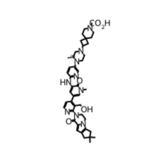 C[C@H]1CN(C2CC3(CCN(C(=O)O)CC3)C2)CCN1c1ccc(Nc2cc(-c3ccnc(N4CCn5c(cc6c5CC(C)(C)C6)C4=O)c3CO)cn(C)c2=O)nc1